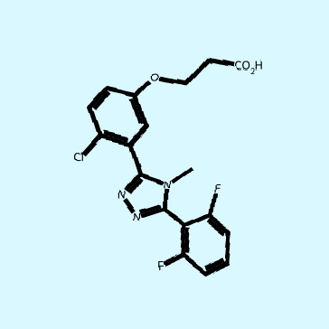 Cn1c(-c2cc(OCCC(=O)O)ccc2Cl)nnc1-c1c(F)cccc1F